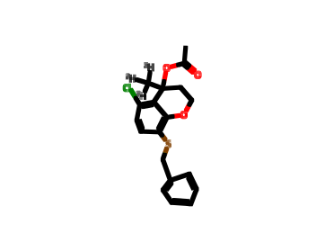 [2H]C([2H])([2H])C1(OC(C)=O)CCOc2c(SCc3ccccc3)ccc(Cl)c21